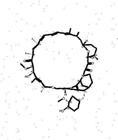 CO[C@@H]1C[C@H](C[C@H]2C3CCN4C(=O)C(=O)[C@]5(O)O[C@@H](CC[C@H]5C)CC(C)/C(C)=C/C=C/C=C/[C@@H](C)C[C@@H](C)C(=O)[C@H](OC)[C@H](O)/C(C)=C/[C@@H](C)CC[C@@H]2OC(=O)[C@@H]4C3)CC[C@H]1O